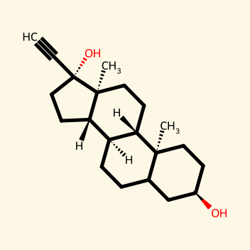 C#C[C@]1(O)CC[C@H]2[C@@H]3CCC4C[C@H](O)CC[C@]4(C)[C@H]3CC[C@@]21C